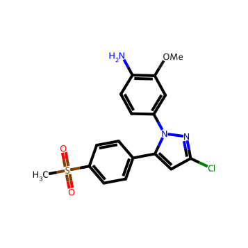 COc1cc(-n2nc(Cl)cc2-c2ccc(S(C)(=O)=O)cc2)ccc1N